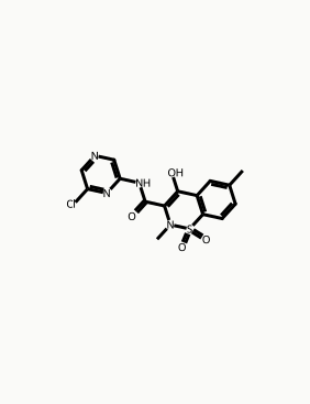 Cc1ccc2c(c1)C(O)=C(C(=O)Nc1cncc(Cl)n1)N(C)S2(=O)=O